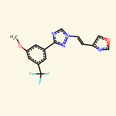 COc1cc(-c2ncn(C=Cc3cocn3)n2)cc(C(F)(F)F)c1